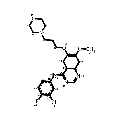 COC1=C(OCCCN2CCOCC2)CC2C(Nc3ccc(F)c(Cl)c3)=NC=NC2C1